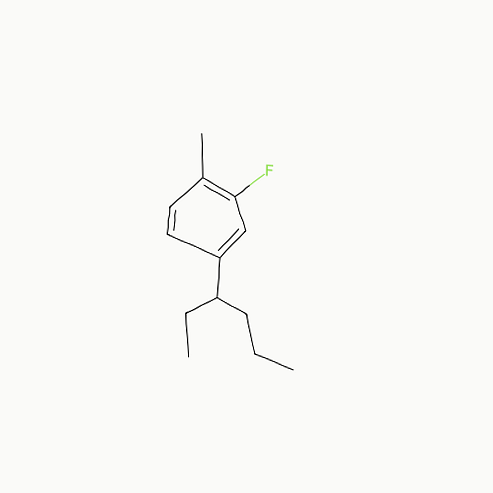 CCCC(CC)c1ccc(C)c(F)c1